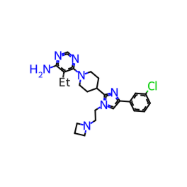 CCc1c(N)ncnc1N1CCC(c2nc(-c3cccc(Cl)c3)cn2CCN2CCC2)CC1